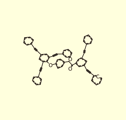 O=C(C(=O)c1cc(C#Cc2ccccc2)cc(C#Cc2ccccc2)c1)c1ccc(Oc2c(C#Cc3ccccc3)cc(C#Cc3ccccc3)cc2C#Cc2ccccc2)cc1